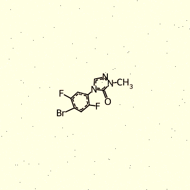 Cn1ncn(-c2cc(F)c(Br)cc2F)c1=O